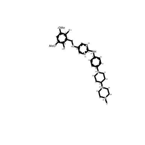 COc1cc(OC)c(F)c(COc2cnc(Nc3ccc(N4CCC(N5CCN(C)CC5)CC4)cc3)nc2)c1F